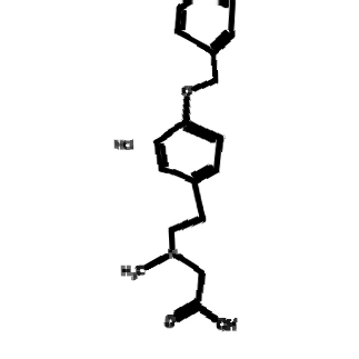 CN(CCc1ccc(OCc2ccccc2)cc1)CC(=O)O.Cl